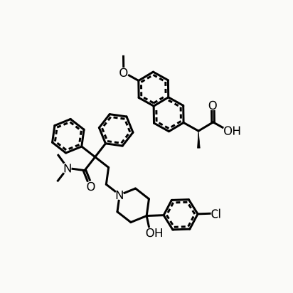 CN(C)C(=O)C(CCN1CCC(O)(c2ccc(Cl)cc2)CC1)(c1ccccc1)c1ccccc1.COc1ccc2cc([C@H](C)C(=O)O)ccc2c1